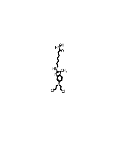 Cn1c(NCCCCCCC(=O)NO)nc2cc(N(CCCl)CCCl)ccc21